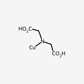 O=C(O)C[N]([Cu])CC(=O)O